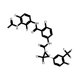 CC(=O)Nc1c(F)ccc(NC(=O)c2cc(NC(=O)[C@H]3[C@H](c4ccc(F)c(C(F)(F)F)c4)C3(Cl)Cl)ccc2Cl)c1F